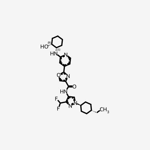 CC[C@H]1CC[C@H](n2cc(NC(=O)c3coc(-c4ccnc(N[C@H]5CCCC[C@H]5O)c4)n3)c(C(F)F)n2)CC1